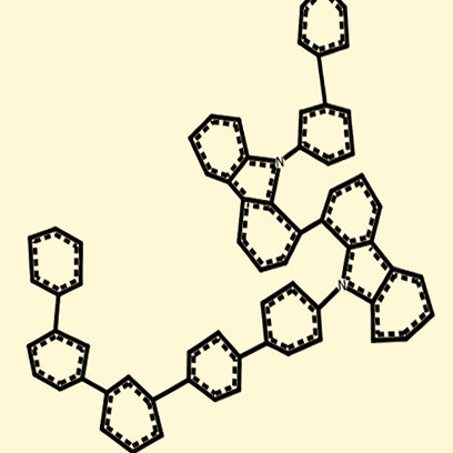 c1ccc(-c2cccc(-c3cccc(-c4ccc(-c5ccc(-n6c7ccccc7c7cccc(-c8cccc9c%10ccccc%10n(-c%10cccc(-c%11ccccc%11)c%10)c89)c76)cc5)cc4)c3)c2)cc1